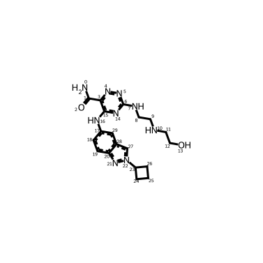 NC(=O)c1nnc(NCCNCCO)nc1Nc1ccc2nn(C3CCC3)cc2c1